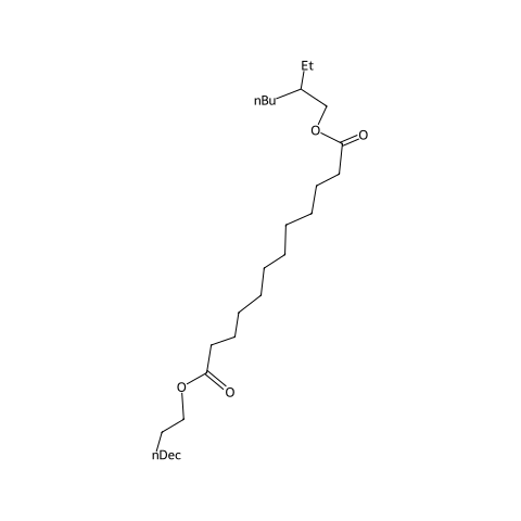 CCCCCCCCCCCCOC(=O)CCCCCCCCCCC(=O)OCC(CC)CCCC